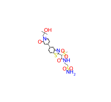 CC(C)(O)Cn1ccc(-c2ccc3sc(C(C(=O)NCCS(N)(=O)=O)S(C)(=O)=O)nc3c2)cc1=O